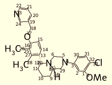 COc1cc(N2CCN3[C@@H](CCC[C@@H]3c3ccc(OCc4cccnc4)c(C)c3C)C2)ccc1Cl